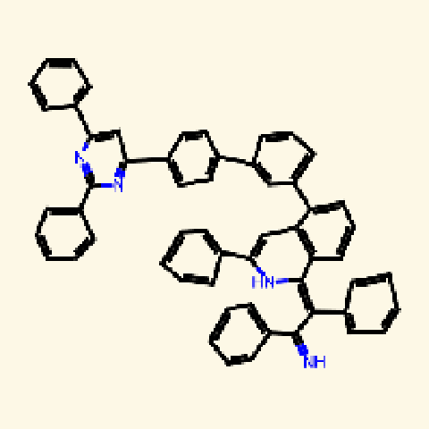 N=C(/C(=C1\NC(c2ccccc2)=Cc2c1cccc2-c1cccc(-c2ccc(-c3cc(-c4ccccc4)nc(-c4ccccc4)n3)cc2)c1)c1ccccc1)c1ccccc1